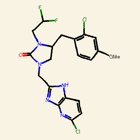 COc1ccc(CC2CN(Cc3nc4nc(Cl)ccc4[nH]3)C(=O)N2CC(F)F)c(Cl)c1